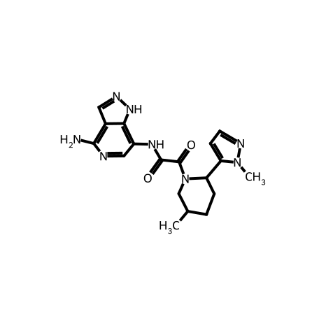 CC1CCC(c2ccnn2C)N(C(=O)C(=O)Nc2cnc(N)c3cn[nH]c23)C1